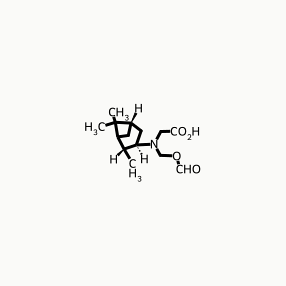 C[C@@H]1C2C[C@@H](C[C@H]1N(COC=O)CC(=O)O)C2(C)C